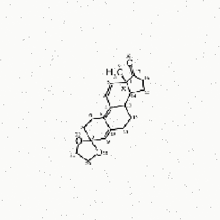 C[C@]12C=CC3=C4CCC5(C=C4CCC3C1CCC2=O)OCCO5